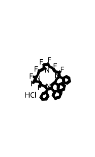 Cl.FC1=C(F)C2=C(F)C3=NC(=C(F)C4=NC(=C(c5ccccc5)C5=NC(=C(F)C1=N2)C(F)=C5c1ccccc1)C(c1ccccc1)=C4c1ccccc1)C(F)=C3F